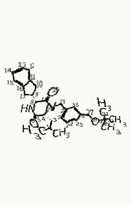 CC(C)C[C@@H]1C(=O)N[C@H](C2Cc3ccccc3C2)C(=O)N1Cc1cccc(COC(C)(C)C)c1